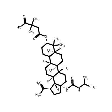 C=C(C)[C@@H]1CC[C@]2(NC(=O)NC(C)C)CC[C@]3(C)[C@H](CC[C@@H]4[C@@]5(C)CC[C@H](OC(=O)CC(C)(C)C(=O)O)C(C)(C)[C@@H]5CC[C@]43C)[C@@H]12